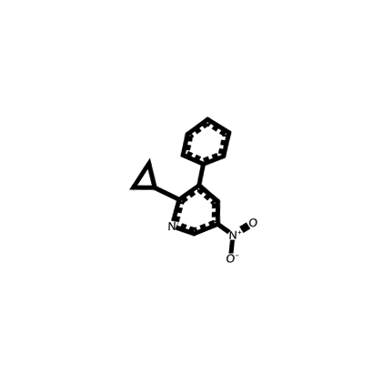 O=[N+]([O-])c1cnc(C2CC2)c(-c2ccccc2)c1